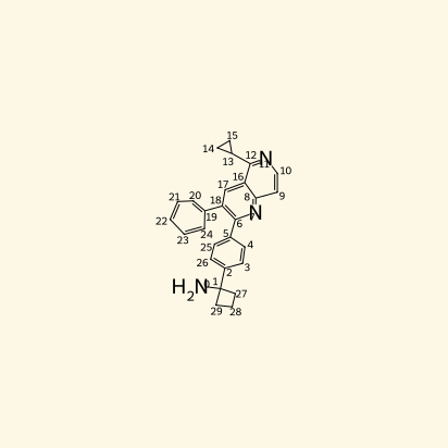 NC1(c2ccc(-c3nc4ccnc(C5CC5)c4cc3-c3ccccc3)cc2)CCC1